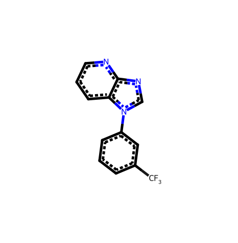 FC(F)(F)c1cccc(-n2cnc3ncccc32)c1